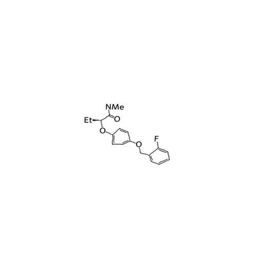 CC[C@H](Oc1ccc(OCc2ccccc2F)cc1)C(=O)NC